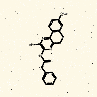 CCCc1nc2c(nc1NC(=O)Cc1ccccc1)CCc1cc(OC)ccc1-2